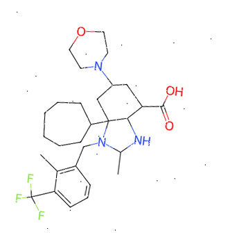 Cc1c(CN2C(C)NC3C(C(=O)O)CC(N4CCOCC4)CC32C2CCCCCC2)cccc1C(F)(F)F